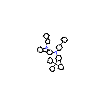 c1ccc(-c2ccc(N(c3ccc4c(c3)C(c3ccccc3)(c3ccccc3)c3ccccc3-4)c3ccc4c5ccccc5n(-c5ccc6ccccc6c5)c4c3)cc2)cc1